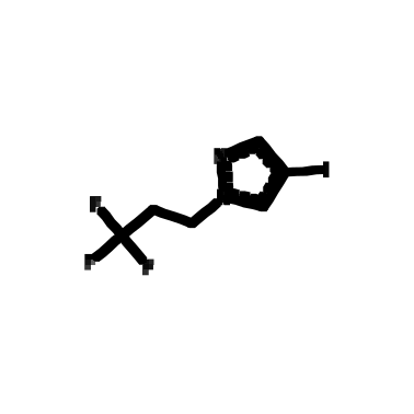 FC(F)(F)CCn1cc(I)cn1